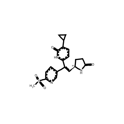 CS(=O)(=O)c1ccc(C(=C[C@H]2CCC(=O)N2)c2ccc(C3CC3)c(=O)[nH]2)cn1